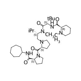 CC(C)[C@@H](CN1CCC[C@H]1C(=O)N1CCC[C@H]1C(=O)NC1CCCCCC1)N(C)C(=O)[C@@H](NC(=O)[C@H]1CCCCN1C)C(C)(C)C